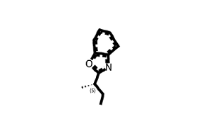 CC[C@H](C)c1nc2ccccc2o1